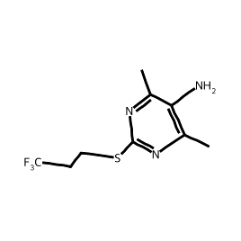 Cc1nc(SCCC(F)(F)F)nc(C)c1N